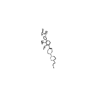 CCCC1CCC(C2CC=C(c3ccc(OCC(F)(F)F)c(F)c3F)CC2)CC1